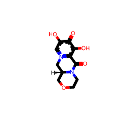 O=C1c2c(O)c(=O)c(O)cn2C[C@H]2COCCN12